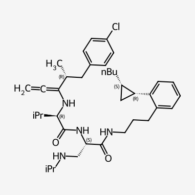 C=C=C(N[C@@H](C(=O)N[C@@H](CNC(C)C)C(=O)NCCCc1ccccc1[C@@H]1C[C@@H]1CCCC)C(C)C)[C@H](C)Cc1ccc(Cl)cc1